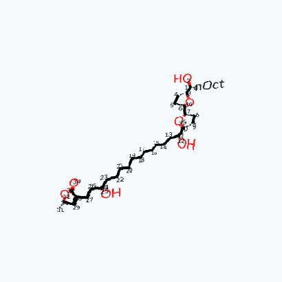 CCCCCCCC[C@@H](O)[C@H]1CC[C@H]([C@H]2CC[C@H]([C@H](O)CCCCCCCCCCC[C@@H](O)CCC3=C[C@H](C)OC3=O)O2)O1